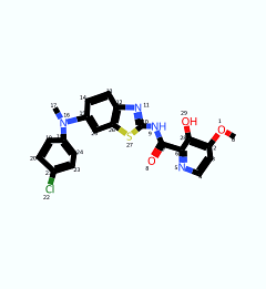 COc1ccnc(C(=O)Nc2nc3ccc(N(C)c4ccc(Cl)cc4)cc3s2)c1O